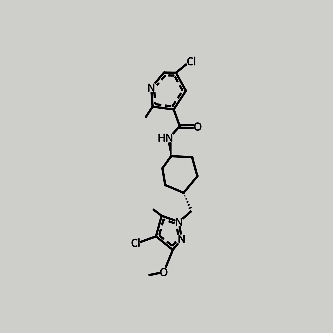 COc1nn(C[C@H]2CC[C@H](NC(=O)c3cc(Cl)cnc3C)CC2)c(C)c1Cl